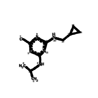 CC(C)Nc1nc(Cl)nc(NCC2CC2)n1